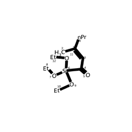 CCCC(C)=CC(=O)[Si](OCC)(OCC)OCC